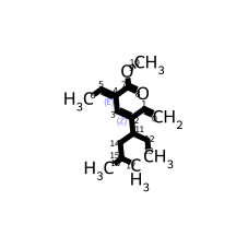 C=C/C(=C\C(=C/C)C(=O)OC)C(CC)CC(C)C